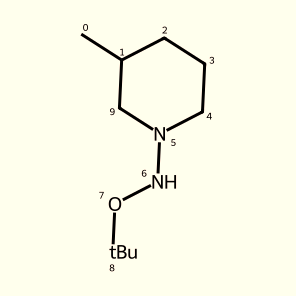 CC1CCCN(NOC(C)(C)C)C1